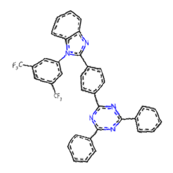 FC(F)(F)c1cc(-n2c(-c3ccc(-c4nc(-c5ccccc5)nc(-c5ccccc5)n4)cc3)nc3ccccc32)cc(C(F)(F)F)c1